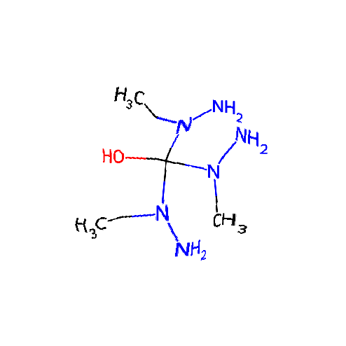 CN(N)C(O)(N(C)N)N(C)N